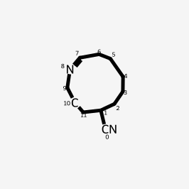 N#CC1CCCCCC=NCCC1